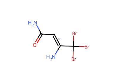 NC(=O)/C=C(\N)C(Br)(Br)Br